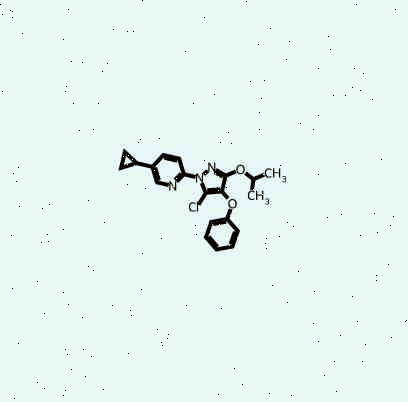 CC(C)Oc1nn(-c2ccc(C3CC3)cn2)c(Cl)c1Oc1ccccc1